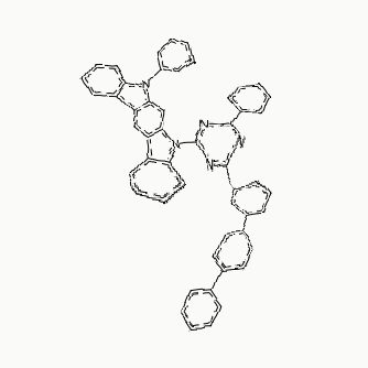 c1ccc(-c2ccc(-c3cccc(-c4nc(-c5ccccc5)nc(-n5c6ccccc6c6cc7c8ccccc8n(-c8ccccc8)c7cc65)n4)c3)cc2)cc1